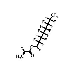 C=C(F)C(=O)OC(F)C(F)(F)C(F)(F)C(F)(F)C(F)(F)C(F)(F)C(F)(F)C(F)(F)F